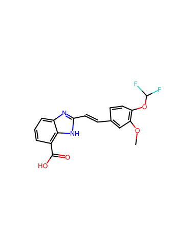 COc1cc(C=Cc2nc3cccc(C(=O)O)c3[nH]2)ccc1OC(F)F